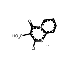 O=C(O)c1c(Cl)nc2ccccn2c1=O